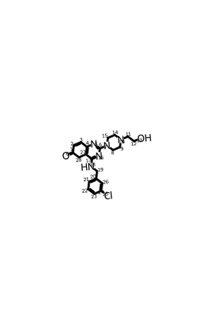 O=C1C=Cc2nc(N3CCN(CCO)CC3)nc(NCc3cccc(Cl)c3)c2C1